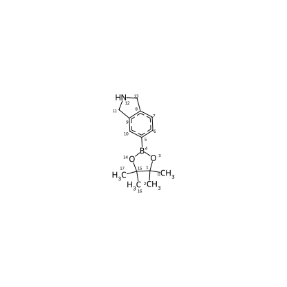 CC1(C)OB(c2ccc3c(c2)CNC3)OC1(C)C